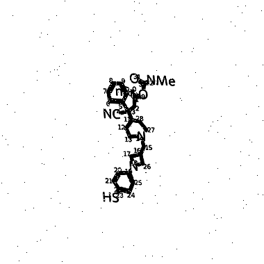 CCC[C@H](CC(C#N)(c1ccccc1)C1CCN(CC2CN(c3ccc(S)cc3)C2)CC1)OC(=O)NC